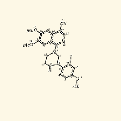 CCOc1ccc(C2CN(c3ncc(C#N)c4cc(OC)c(OC)cc34)CCN2)c(C)c1